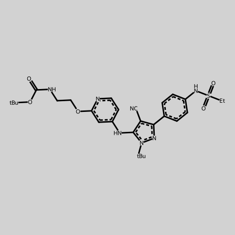 CCS(=O)(=O)Nc1ccc(-c2nn(C(C)(C)C)c(Nc3ccnc(OCCNC(=O)OC(C)(C)C)c3)c2C#N)cc1